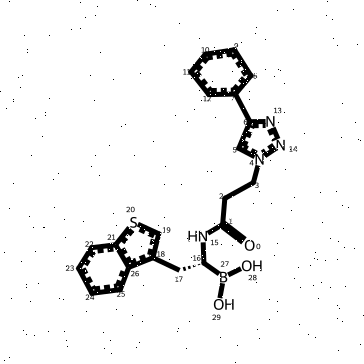 O=C(CCn1cc(-c2ccccc2)nn1)N[C@@H](Cc1csc2ccccc12)B(O)O